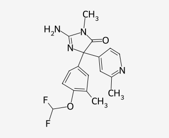 Cc1cc(C2(c3ccc(OC(F)F)c(C)c3)N=C(N)N(C)C2=O)ccn1